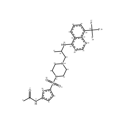 CC(=O)Nc1ccc(S(=O)(=O)N2CCN(CC(C)Nc3ncnc4c(C(F)(F)F)cccc34)CC2)s1